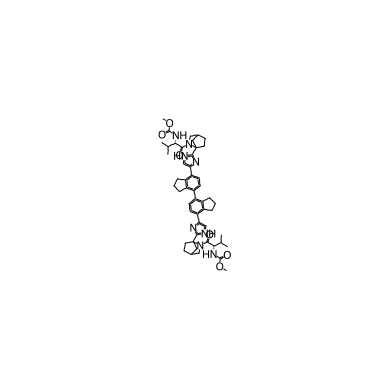 COC(=O)N[C@H](C(=O)N1CC2CCC1(c1nc(-c3ccc(-c4ccc(-c5c[nH]c(C67CCC(CN6C(=O)[C@@H](NC(=O)OC)C(C)C)C7)n5)c5c4CCC5)c4c3CCC4)c[nH]1)C2)C(C)C